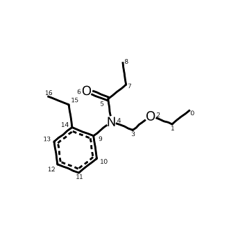 CCOCN(C(=O)CC)c1ccccc1CC